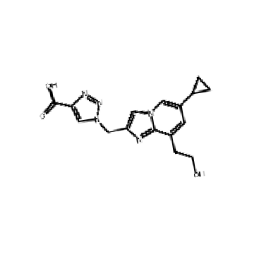 O=C(O)c1cn(Cc2cn3cc(C4CC4)cc(CCO)c3n2)nn1